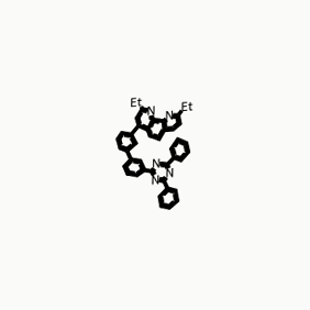 CCc1ccc2ccc3c(-c4cccc(-c5cccc(-c6nc(-c7ccccc7)nc(-c7ccccc7)n6)c5)c4)cc(CC)nc3c2n1